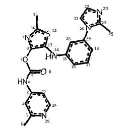 Cc1cc(NC(=O)Oc2nc(C)sc2Nc2cccc(-n3ccnc3C)c2)ccn1